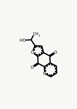 CC(O)c1cc2c(o1)C(=O)c1ncccc1C2=O